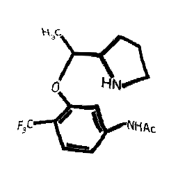 CC(=O)Nc1ccc(C(F)(F)F)c(OC(C)C2CCCN2)c1